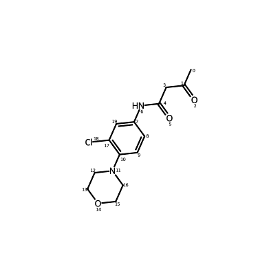 CC(=O)CC(=O)Nc1ccc(N2CCOCC2)c(Cl)c1